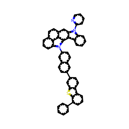 c1ccc(-c2cccc3c2sc2cc(-c4ccc5cc(-n6c7cccc8ccc9cc%10c(c%11ccccc%11n%10-c%10ccccn%10)c6c9c87)ccc5c4)ccc23)cc1